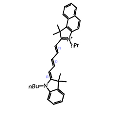 CCCCN1/C(=C/C=C/C=C/C2=[N+](CCC)c3ccc4ccccc4c3C2(C)C)C(C)(C)c2ccccc21